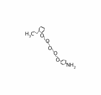 CCCc1ccccc1OCCOCCOCCOCCOc1ccc(N)cc1